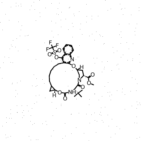 COC(=O)[C@@H]1C[C@@H]2CN1C(=O)[C@H](C(C)(C)C)NC(=O)O[C@@H]1CC1CCCCCc1c(nc3ccccc3c1OS(=O)(=O)C(F)(F)F)O2